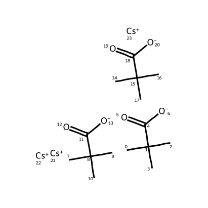 CC(C)(C)C(=O)[O-].CC(C)(C)C(=O)[O-].CC(C)(C)C(=O)[O-].[Cs+].[Cs+].[Cs+]